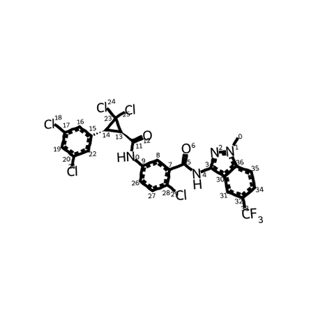 Cn1nc(NC(=O)c2cc(NC(=O)[C@H]3[C@H](c4cc(Cl)cc(Cl)c4)C3(Cl)Cl)ccc2Cl)c2cc(C(F)(F)F)ccc21